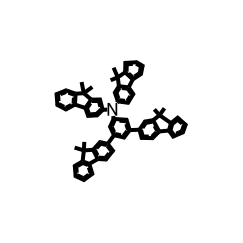 CC1(C)c2ccccc2-c2ccc(-c3cc(-c4ccc5c(c4)C(C)(C)c4ccccc4-5)cc(N(c4ccc5c(c4)C(C)(C)c4ccccc4-5)c4ccc5c(c4)C(C)(C)c4ccccc4-5)c3)cc21